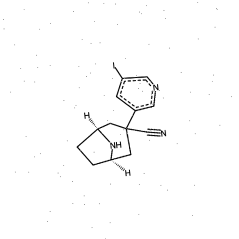 N#CC1(c2cncc(I)c2)C[C@H]2CC[C@@H](C1)N2